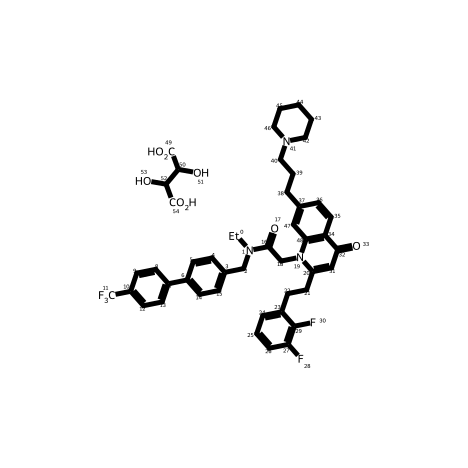 CCN(Cc1ccc(-c2ccc(C(F)(F)F)cc2)cc1)C(=O)Cn1c(CCc2cccc(F)c2F)cc(=O)c2ccc(CCCN3CCCCC3)cc21.O=C(O)C(O)C(O)C(=O)O